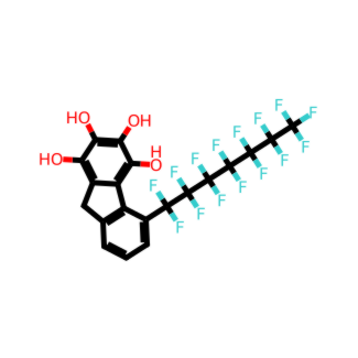 Oc1c(O)c(O)c2c(c1O)Cc1cccc(C(F)(F)C(F)(F)C(F)(F)C(F)(F)C(F)(F)C(F)(F)C(F)(F)F)c1-2